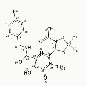 CC(=O)N1CC(F)(F)C[C@H]1c1nc(C(=O)NCc2ccc(F)cc2)c(O)c(=O)n1C